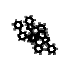 c1ccc(-c2cccc(-c3nc(-c4ccccc4-n4c(-c5ccccc5)nc5ccccc54)nc(-c4ccccc4-n4c(-c5ccccc5)nc5ccccc54)n3)c2)cc1